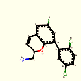 NC[C@H]1C=Cc2cc(F)cc(-c3cc(Cl)ccc3Cl)c2O1